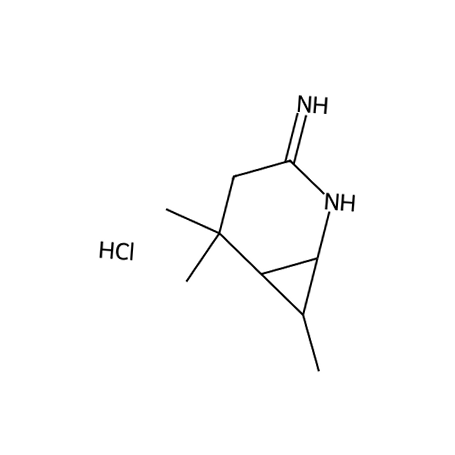 CC1C2NC(=N)CC(C)(C)C12.Cl